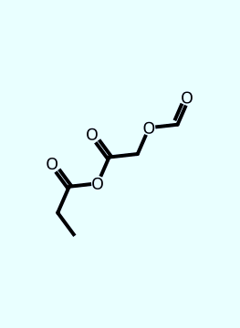 CCC(=O)OC(=O)COC=O